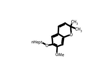 CCCCCCCOc1cc2c(cc1OC)OC(C)(C)C=C2